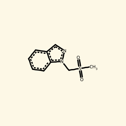 CS(=O)(=O)Cn1ncc2ccccc21